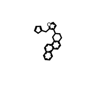 C1=CCC(Cc2occc2C2CCc3ccc4c(ccc5ccccc54)c3C2)=C1